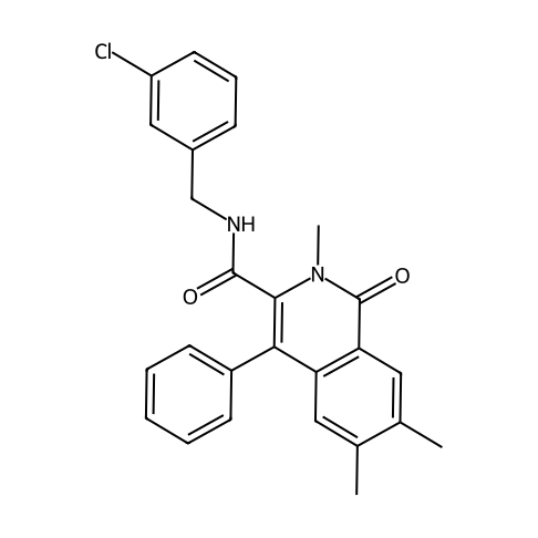 Cc1cc2c(-c3ccccc3)c(C(=O)NCc3cccc(Cl)c3)n(C)c(=O)c2cc1C